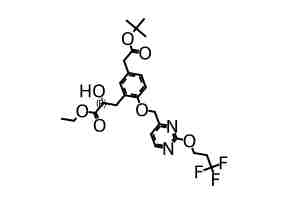 CCOC(=O)[C@H](O)Cc1cc(CC(=O)OC(C)(C)C)ccc1OCc1ccnc(OCCC(F)(F)F)n1